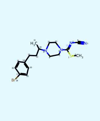 CS/C(=N\C#N)N1CCN(C(C)CCc2ccc(Br)cc2)CC1